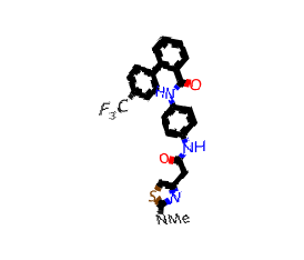 CNc1nc(CC(=O)Nc2ccc(NC(=O)c3ccccc3-c3ccc(C(F)(F)F)cc3)cc2)cs1